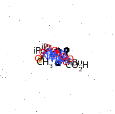 CC[C@H](C)[C@H](NC(=O)[C@H](Cc1c[nH]c2ccccc12)NC(=O)[C@H](Cc1ccccc1)NC(=O)[C@H](Cc1ccccc1)NC(=O)[C@@H]1CCCN1C(=O)[C@H](CC(C)C)NC(=O)[C@H](CC(C)C)NC(=O)[C@@H](N)CC[S+](C)[O-])C(=O)O